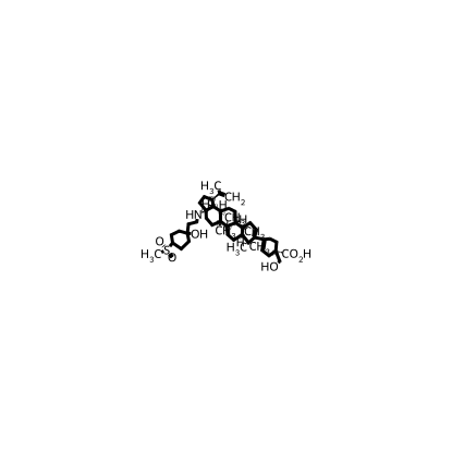 C=C(C)[C@@H]1CC[C@]2(NCCC3(O)CCC(S(C)(=O)=O)CC3)CC[C@]3(C)[C@H](CC[C@@H]4[C@@]5(C)CC=C(C6=CC[C@@](CO)(C(=O)O)CC6)C(C)(C)[C@@H]5CC[C@]43C)[C@@H]12